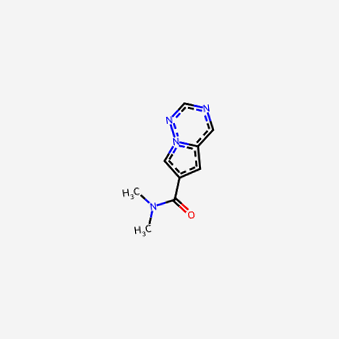 CN(C)C(=O)c1cc2cncnn2c1